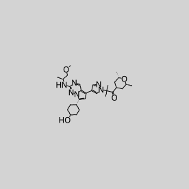 COC[C@H](C)Nc1ncc2c(-c3cnn(C(C)(C)C(=O)C4C[C@H](C)O[C@@H](C)C4)c3)cc([C@H]3CC[C@H](O)CC3)n2n1